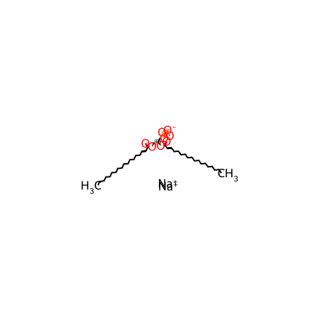 CCCCCCCCCCCCCCCC=CC(=O)OC[C@H](COP(=O)([O-])[O-])OC(=O)C=CCCCCCCCCCCCCCCC.[Na+].[Na+]